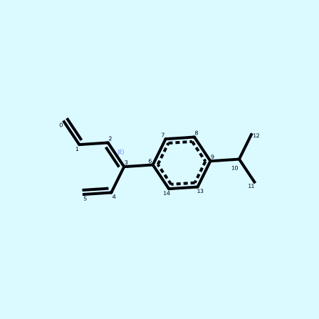 C=C/C=C(\C=C)c1ccc(C(C)C)cc1